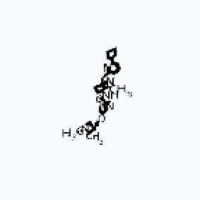 Cc1nn(Cc2cccc(C3CCCC3)n2)c2cccc(NC(=O)c3cnc4cc(OCCN5CCN(C)C(C)C5)ccn34)c12